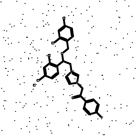 O=C(Cn1cc[n+](CC(OCc2ccc(Cl)cc2Cl)c2ccc(Cl)cc2Cl)c1)c1ccc(F)cc1.[Cl-]